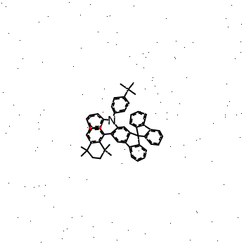 CC(C)(C)c1ccc(N(c2ccccc2)c2cc3c(cc2-c2cccc4c2C(C)(C)CCC4(C)C)-c2ccccc2C32c3ccccc3-c3ccccc32)cc1